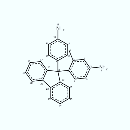 Cc1cc(N)ccc1C1(c2ccc(N)cc2)c2ccccc2-c2ccccc21